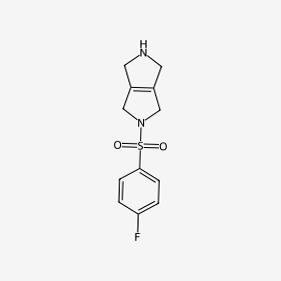 O=S(=O)(c1ccc(F)cc1)N1CC2=C(CNC2)C1